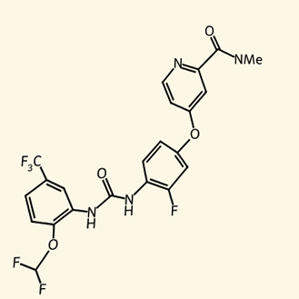 CNC(=O)c1cc(Oc2ccc(NC(=O)Nc3cc(C(F)(F)F)ccc3OC(F)F)c(F)c2)ccn1